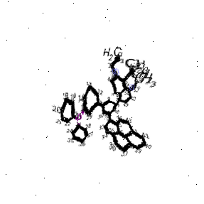 C=C/C=c1/ccc2c(-c3cc(-c4cccc(P(c5ccccc5)c5ccccc5)c4)cc(-c4ccc5ccc6cccc7ccc4c5c67)c3)cc/c(=C/C)c2c1C(=C)C